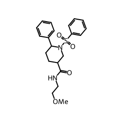 COCCNC(=O)C1CCC(c2ccccc2)N(S(=O)(=O)c2ccccc2)C1